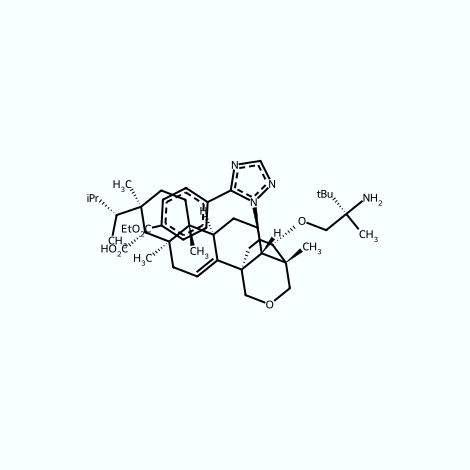 CCOC(=O)c1ccc(-c2ncnn2[C@@H]2C[C@@]34COC[C@@](C)([C@H]2OC[C@](C)(N)C(C)(C)C)[C@H]3CC[C@H]2C4=CC[C@@]3(C)[C@H](C(=O)O)[C@@](C)([C@H](C)C(C)C)CC[C@]23C)cc1